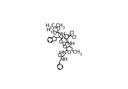 CCCC(NC(=O)[C@@H]1C2C(CN1C(=O)C(NC(=O)OC(C)(C)C)C1Cc3ccccc3C1)C2(Cl)Cl)C(=O)C(=O)NCC(=O)NCc1ccccc1